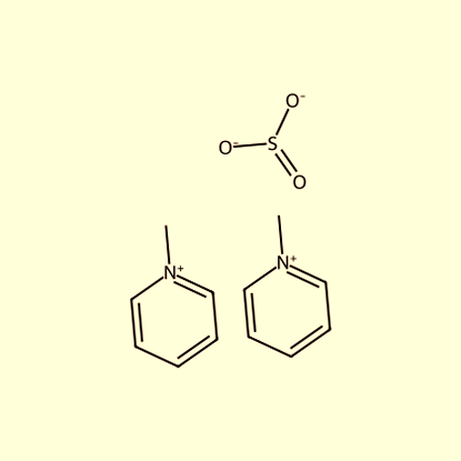 C[n+]1ccccc1.C[n+]1ccccc1.O=S([O-])[O-]